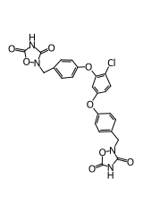 O=c1[nH]c(=O)n(Cc2ccc(Oc3ccc(Cl)c(Oc4ccc(Cn5oc(=O)[nH]c5=O)cc4)c3)cc2)o1